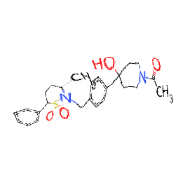 CC(=O)N1CCC(O)(c2ccc(CN3[C@@H](C)CCC(c4ccccc4)S3(=O)=O)cc2)CC1